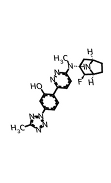 Cc1nnn(-c2ccc(-c3ccc(N(C)[C@@H]4C[C@H]5CC[C@H](N5)[C@H]4F)nn3)c(O)c2)n1